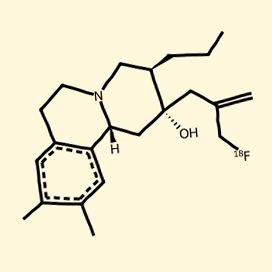 C=C(C[18F])C[C@@]1(O)C[C@@H]2c3cc(C)c(C)cc3CCN2C[C@H]1CCC